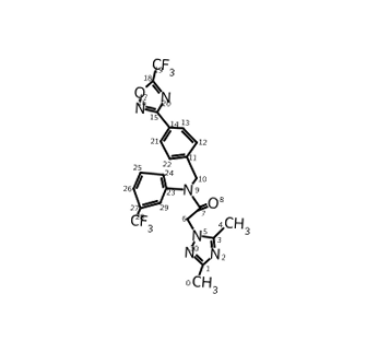 Cc1nc(C)n(CC(=O)N(Cc2ccc(-c3noc(C(F)(F)F)n3)cc2)c2cccc(C(F)(F)F)c2)n1